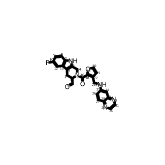 O=CC1Cc2c([nH]c3ccc(F)cc23)CN1C(=O)c1occc1CNc1ccc2nccnc2c1